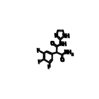 NC(=O)C(C(=O)Nc1ncc[nH]1)c1cc(F)c(F)c(F)c1